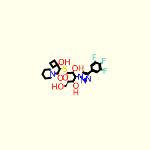 O=C([C@H](S[C@@H]1O[C@H](CO)[C@H](O)[C@H](n2cc(-c3cc(F)c(F)c(F)c3)nn2)[C@H]1O)C1(O)CCC1)N1CCCCC1